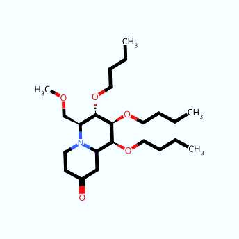 CCCCO[C@@H]1[C@@H](OCCCC)[C@H](COC)N2CCC(=O)CC2[C@@H]1OCCCC